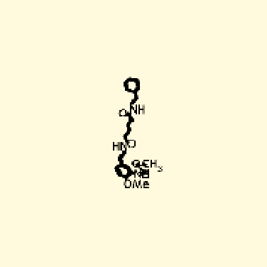 COc1ccc(CCNC(=O)CCCCC(=O)NCCc2ccccc2)cc1NS(C)(=O)=O